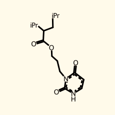 CC(C)CC(C(=O)OCCCn1c(=O)cc[nH]c1=O)C(C)C